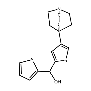 OC(c1cccs1)c1cc(C23CCN(CC2)CC3)cs1